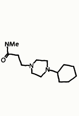 CNC(=O)CCN1CCN(C2CCCCC2)CC1